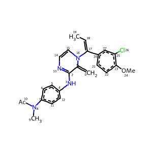 C=C1C(Nc2ccc(N(C)C(C)=O)cc2)=NC=CN1/C(=C\C)c1ccc(OC)c(Cl)c1